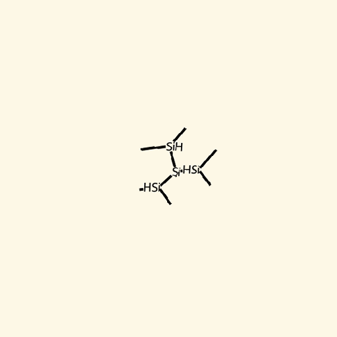 C[SiH](C)[Si]([SiH](C)C)[SiH](C)C